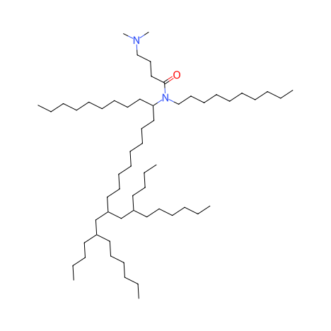 CCCCCCCCCCN(C(=O)CCCN(C)C)C(CCCCCCCCC)CCCCCCCCC(CC(CCCC)CCCCCC)CC(CCCC)CCCCCC